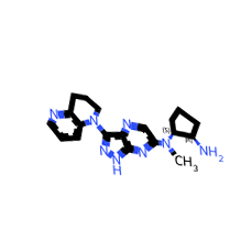 CN(c1cnc2c(N3CCCc4ncccc43)n[nH]c2n1)[C@H]1CCC[C@H]1N